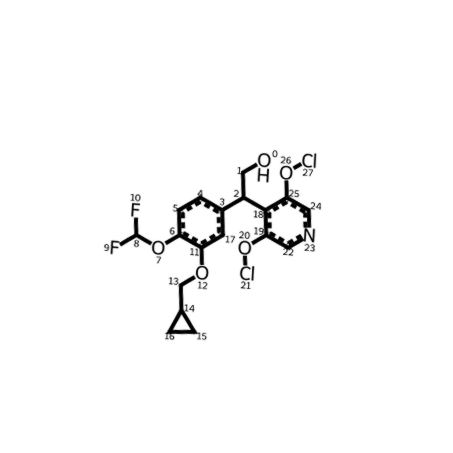 OCC(c1ccc(OC(F)F)c(OCC2CC2)c1)c1c(OCl)cncc1OCl